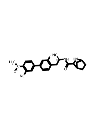 C[S+]([O-])c1ccc(-c2ccc(C[C@@H](C#N)NC(=O)C3NC4CCC3C4)c(F)c2)cc1C#N